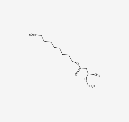 CCCCCCCCCCCCCCCCCCOC(=O)CC(C)OS(=O)(=O)O